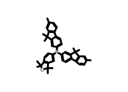 Cc1ccc2c(c1)C(C)(C)c1cc(N(c3ccc4c(c3)C(C)(C)OC4(C)C)c3ccc4c(c3)C(C)(C)c3cc(C)ccc3-4)ccc1-2